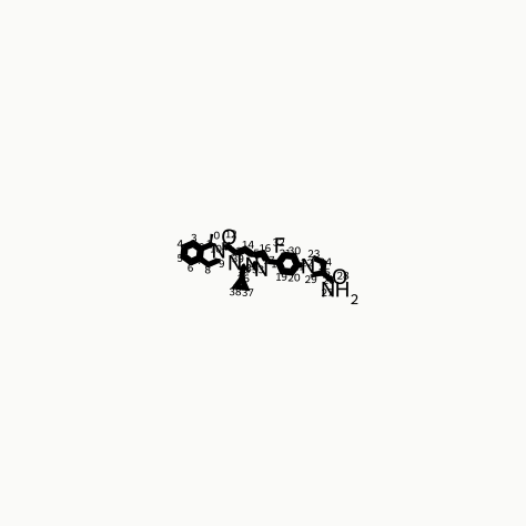 C[C@@H]1c2ccccc2CCN1C(=O)c1cc2cc(-c3ccc(N4CCC(C(N)=O)C4)cc3F)nn2c(C2CC2)n1